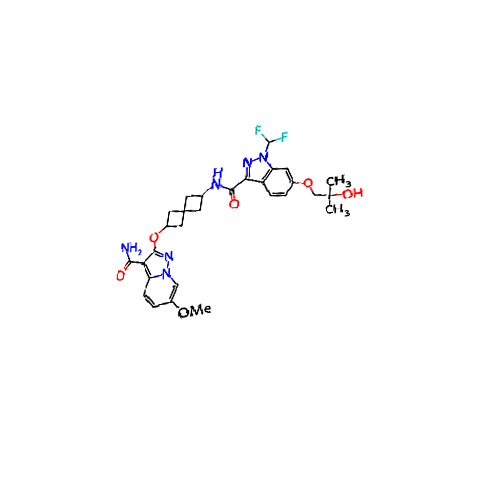 COc1ccc2c(C(N)=O)c(OC3CC4(CC(NC(=O)c5nn(C(F)F)c6cc(OCC(C)(C)O)ccc56)C4)C3)nn2c1